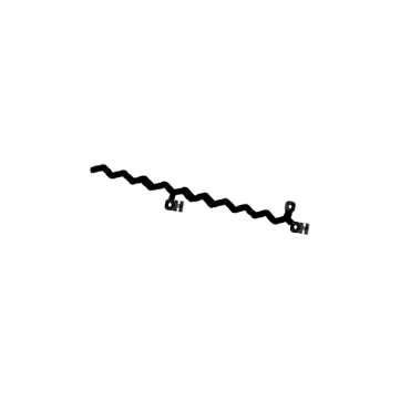 CCCCC/C=C/CC(O)/C=C/C=C/CCCCCCC(=O)O